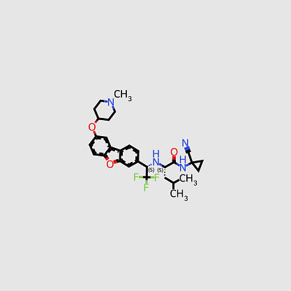 CC(C)C[C@H](N[C@@H](c1ccc2c(c1)oc1ccc(OC3CCN(C)CC3)cc12)C(F)(F)F)C(=O)NC1(C#N)CC1